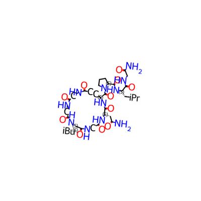 CC[C@H](C)[C@@H]1NC(=O)CNC(=O)CNC(=O)CC[C@@H](C(=O)N2CCC[C@H]2C(=O)N[C@@H](CC(C)C)C(=O)NCC(N)=O)NC(=O)[C@H](CC(N)=O)NC(=O)CNC1=O